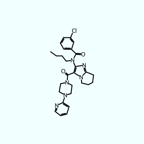 CCCCN(C(=O)c1cccc(Cl)c1)c1nc2n(c1C(=O)N1CCN(c3ccccn3)CC1)CCCC2